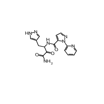 NC(=O)C(=O)C(Cc1cn[nH]c1)NC(=O)c1ccnn1-c1ccccn1